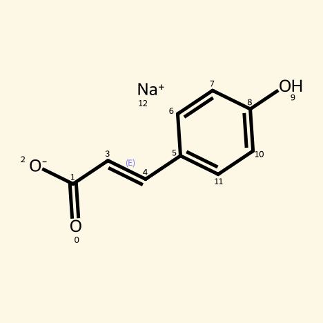 O=C([O-])/C=C/c1ccc(O)cc1.[Na+]